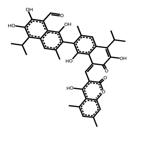 Cc1cc(C)c2c(O)c(/C=C3\C(=O)C(O)=C(C(C)C)c4cc(C)c(-c5c(C)cc6c(C(C)C)c(O)c(O)c(C=O)c6c5O)c(O)c43)c(=O)oc2c1